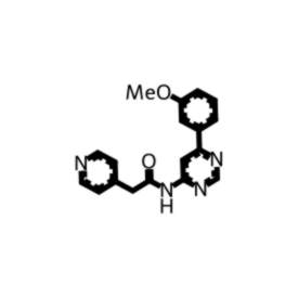 COc1cccc(-c2cc(NC(=O)Cc3ccncc3)ncn2)c1